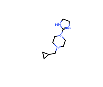 C1CNC(N2CCN(CC3CC3)CC2)=N1